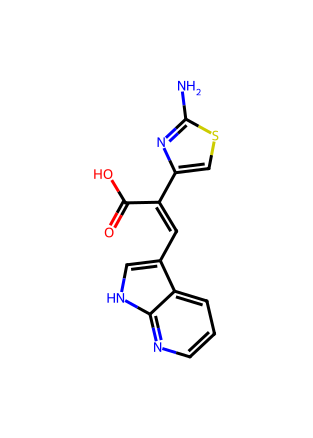 Nc1nc(C(=Cc2c[nH]c3ncccc23)C(=O)O)cs1